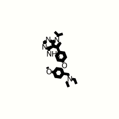 CCN(CC)Cc1ccc(OC)cc1Oc1ccc(-c2cn(C(C)C)c3ncnc(N)c23)cc1